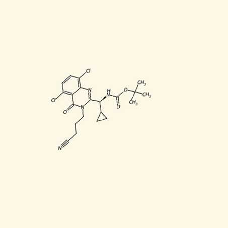 CC(C)(C)OC(=O)N[C@H](c1nc2c(Cl)ccc(Cl)c2c(=O)n1CCCC#N)C1CC1